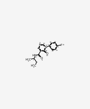 CCC(C)NC(=O)c1cncn(-c2ccc(F)cc2)c1=O